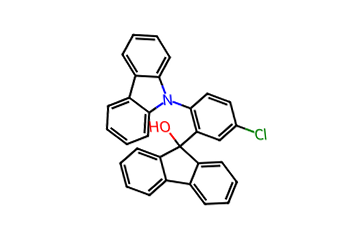 OC1(c2cc(Cl)ccc2-n2c3ccccc3c3ccccc32)c2ccccc2-c2ccccc21